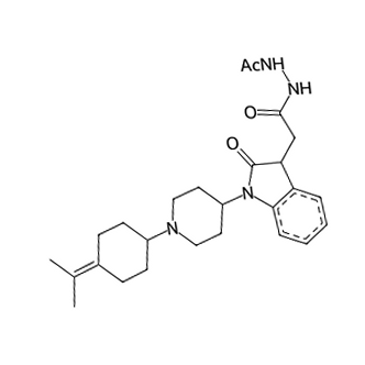 CC(=O)NNC(=O)CC1C(=O)N(C2CCN(C3CCC(=C(C)C)CC3)CC2)c2ccccc21